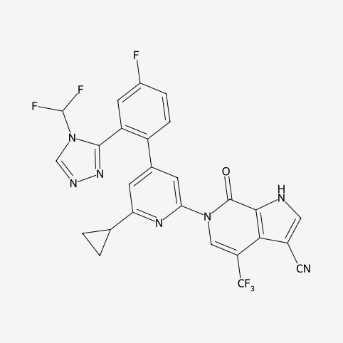 N#Cc1c[nH]c2c(=O)n(-c3cc(-c4ccc(F)cc4-c4nncn4C(F)F)cc(C4CC4)n3)cc(C(F)(F)F)c12